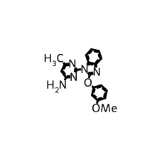 COc1cccc(Oc2nc3ccccc3n2-c2nc(C)cc(N)n2)c1